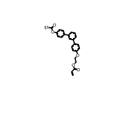 C=CC(=O)OCCOc1ccc(-c2cccc(-c3ccc(OC(=O)CC)cc3)c2)cc1